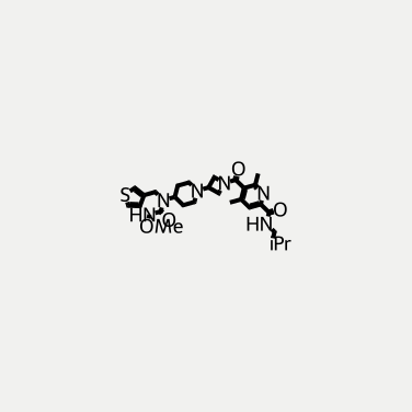 CONC(=O)N(Cc1ccsc1)C1CCN(C2CN(C(=O)c3c(C)cc(C(=O)NCC(C)C)nc3C)C2)CC1